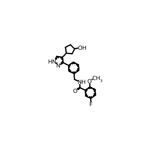 COc1ccc(F)cc1C(=O)NCc1cccc(-c2n[nH]cc2C2CCC(O)C2)c1